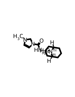 CN1C=CN(C(=O)N[C@H]2C[C@H]3CCC[C@@H](C2)N3C)C1